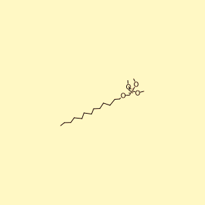 CCCCCCCCCCCCCOC[Si](OC)(OC)OC